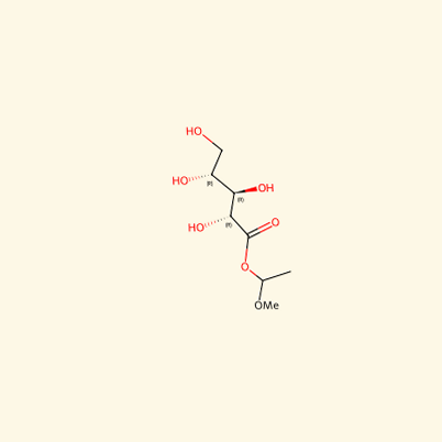 COC(C)OC(=O)[C@H](O)[C@H](O)[C@H](O)CO